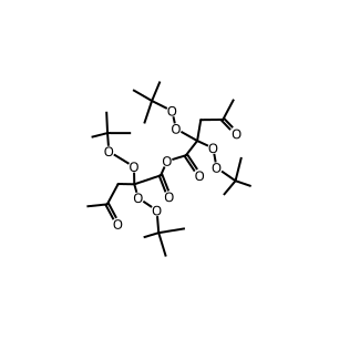 CC(=O)CC(OOC(C)(C)C)(OOC(C)(C)C)C(=O)OC(=O)C(CC(C)=O)(OOC(C)(C)C)OOC(C)(C)C